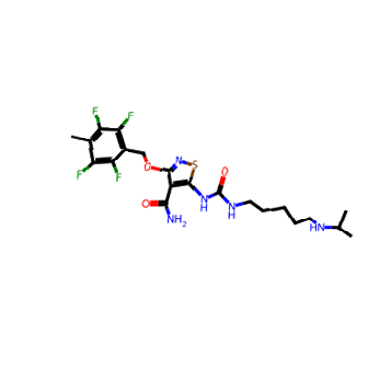 Cc1c(F)c(F)c(COc2nsc(NC(=O)NCCCCCNC(C)C)c2C(N)=O)c(F)c1F